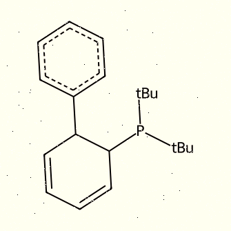 CC(C)(C)P(C1C=CC=CC1c1ccccc1)C(C)(C)C